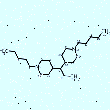 CCCCCN1CCC(C(CC)C2CCN(CCCCC)CC2)CC1